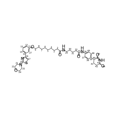 O=C(CCCCCCCCOc1cccc(-c2csc(N3CCOCC3)n2)c1)NCCCCC(=O)Nc1ccc(C2CCC(=O)NC2=O)cc1